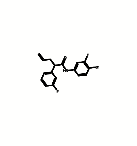 C=CCC(C(=O)Nc1ccc(Br)c(F)c1)c1cccc(F)c1